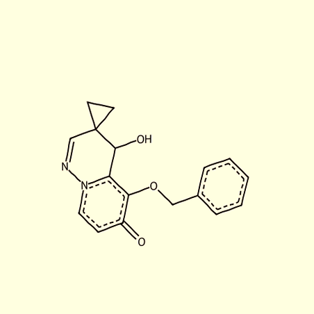 O=c1ccn2c(c1OCc1ccccc1)C(O)C1(C=N2)CC1